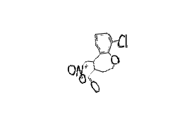 O=CC1CCOc2c(Cl)cccc2C1C[N+](=O)[O-]